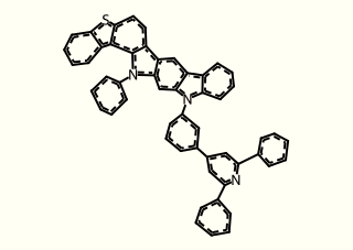 c1ccc(-c2cc(-c3cccc(-n4c5ccccc5c5cc6c7ccc8sc9ccccc9c8c7n(-c7ccccc7)c6cc54)c3)cc(-c3ccccc3)n2)cc1